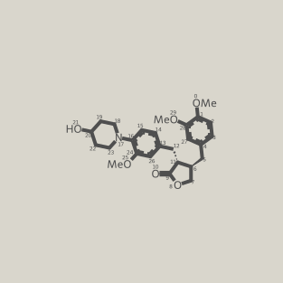 COc1ccc(C[C@H]2COC(=O)[C@@H]2Cc2ccc(N3CCC(O)CC3)c(OC)c2)cc1OC